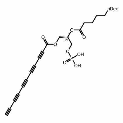 C#CC#CC#CC#CC#CC(=O)OC[C@H](COP(=O)(O)O)OC(=O)CCCCCCCCCCCCCC